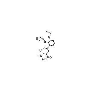 CCOc1cccc(C(CC)CC(CN)C(=O)O)c1OCC